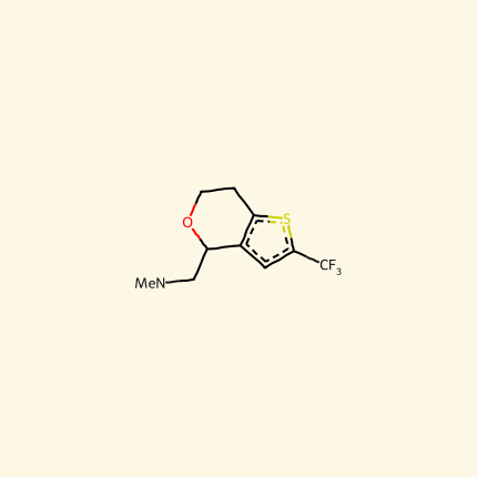 CNCC1OCCc2sc(C(F)(F)F)cc21